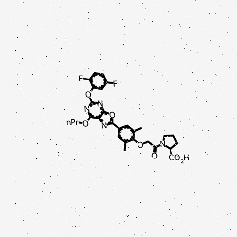 CCCOc1nc(Oc2cc(F)ccc2F)nc2oc(-c3cc(C)c(OCC(=O)N4CCC[C@H]4C(=O)O)c(C)c3)nc12